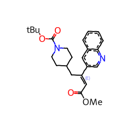 COC(=O)/C=C(\CC1CCN(C(=O)OC(C)(C)C)CC1)c1cnc2ccccc2c1